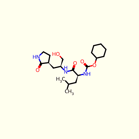 CC(C)C[C@H](NC(=O)OC1CCCCC1)C(=O)N[C@H](CO)C[C@@H]1CCNC1=O